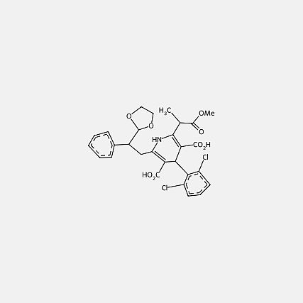 COC(=O)C(C)C1=C(C(=O)O)C(c2c(Cl)cccc2Cl)C(C(=O)O)=C(CC(c2ccccc2)C2OCCO2)N1